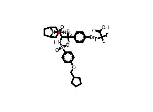 NC1CC2CCC(C1)N2C(=O)C(NS(=O)(=O)c1ccc(OCC2CCCC2)cc1)C(F)(F)c1ccc(Br)cc1.O=C(O)C(F)(F)F